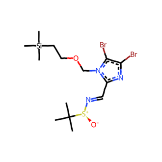 CC(C)(C)[S@+]([O-])N=Cc1nc(Br)c(Br)n1COCC[Si](C)(C)C